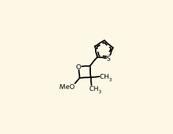 COC1OC(c2cccs2)C1(C)C